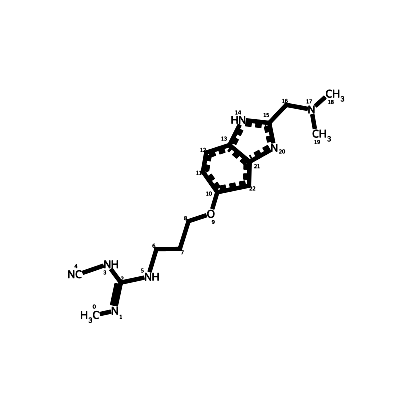 CN=C(NC#N)NCCCOc1ccc2[nH]c(CN(C)C)nc2c1